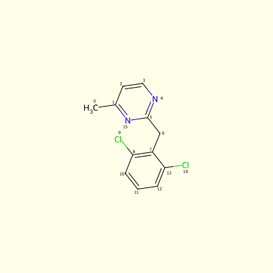 Cc1ccnc(Cc2c(Cl)cccc2Cl)n1